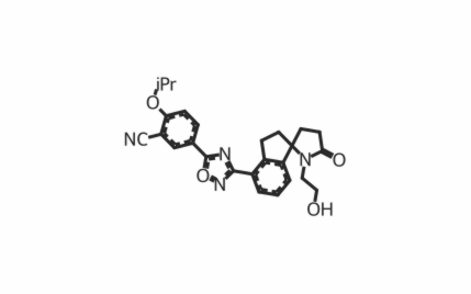 CC(C)Oc1ccc(-c2nc(-c3cccc4c3CCC43CCC(=O)N3CCO)no2)cc1C#N